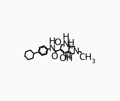 CCN1C[C@H]2NC(=O)C(C(=O)Nc3ccc(C4CCCCC4)cc3)=C(O)[C@@H]2C1